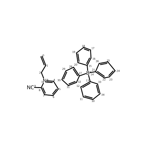 C=CC[n+]1ccccc1C#N.c1ccc([B-](c2ccccc2)(c2ccccc2)c2ccccc2)cc1